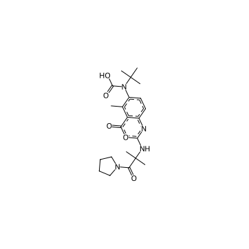 Cc1c(N(C(=O)O)C(C)(C)C)ccc2nc(NC(C)(C)C(=O)N3CCCC3)oc(=O)c12